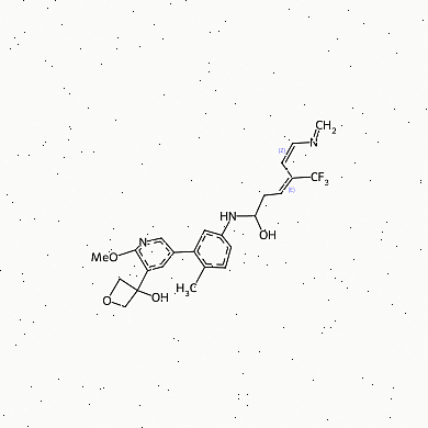 C=N/C=C\C(=C/CC(O)Nc1ccc(C)c(-c2cnc(OC)c(C3(O)COC3)c2)c1)C(F)(F)F